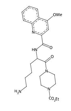 CCOC(=O)N1CCN(C(=O)C(CCCCN)NC(=O)c2cc(OC)c3ccccc3n2)CC1